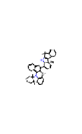 CC1(C)C2=C(c3ccccc31)[C@H]1C=CC=C(c3cc4c(c5c3Bc3cccc6c3N5C3(C)CCCCC63C)CCC=C4)C1N2